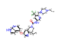 CC[C@@H]1CN(C(=O)Nc2cnc(CN3CCN(CC)CC3)c(C(F)(F)F)c2)Cc2cc(Oc3ccnc4[nH]ccc34)cnc21